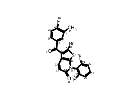 Cc1cc(C(=O)c2c(Br)sc3c2ccc(=O)n3-c2c(F)cccc2F)ccc1F